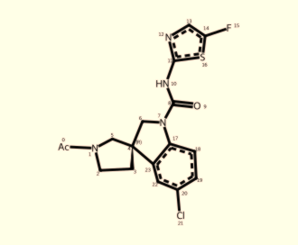 CC(=O)N1CC[C@@]2(C1)CN(C(=O)Nc1ncc(F)s1)c1ccc(Cl)cc12